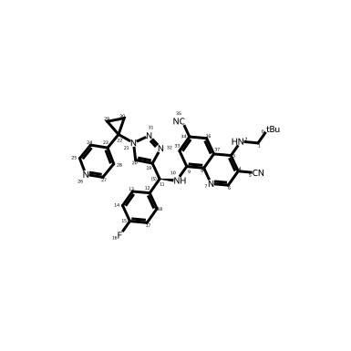 CC(C)(C)CNc1c(C#N)cnc2c(N[C@@H](c3ccc(F)cc3)c3cn(C4(c5ccncc5)CC4)nn3)cc(C#N)cc12